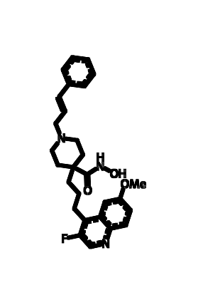 COc1ccc2ncc(F)c(CCCC3(C(=O)NO)CCN(CC=Cc4ccccc4)CC3)c2c1